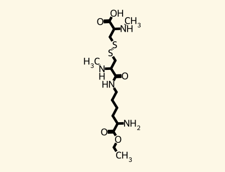 CCOC(=O)C(N)CCCCNC(=O)C(CSSCC(NC)C(=O)O)NC